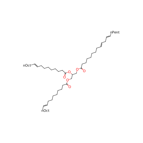 CCCCC/C=C/C/C=C/CCCCCCCC(=O)OCC(COC(=O)CCCCCCC/C=C/CCCCCCCC)OC(=O)CCCCCCC/C=C/CCCCCCCC